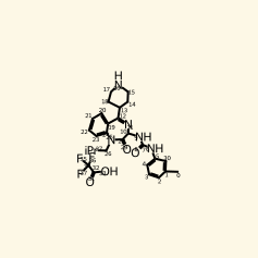 Cc1cccc(NC(=O)NC2N=C(C3CCNCC3)c3ccccc3N(CC(C)C)C2=O)c1.O=C(O)C(F)(F)F